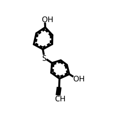 C#Cc1cc(Sc2ccc(O)cc2)ccc1O